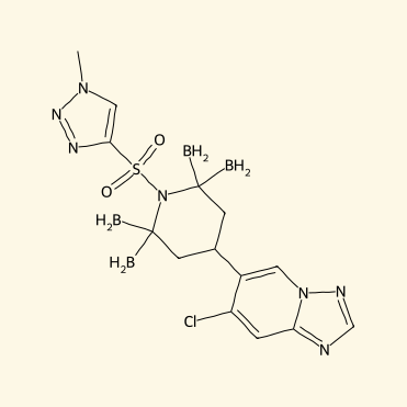 BC1(B)CC(c2cn3ncnc3cc2Cl)CC(B)(B)N1S(=O)(=O)c1cn(C)nn1